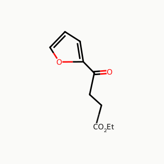 CCOC(=O)CCC(=O)c1ccco1